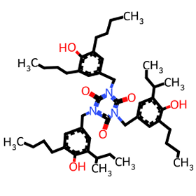 CCCCc1cc(Cn2c(=O)n(Cc3cc(CCCC)c(O)c(C(C)CC)c3)c(=O)n(Cc3cc(CCCC)c(O)c(C(C)CC)c3)c2=O)cc(CCCC)c1O